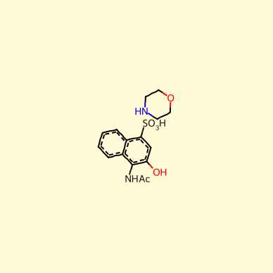 C1COCCN1.CC(=O)Nc1c(O)cc(S(=O)(=O)O)c2ccccc12